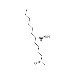 [CH2]C(=O)CCCCCCCCCCC.[NaH].[NaH]